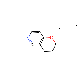 [c]1nccc2c1CCCO2